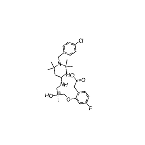 CC1(C)CC(NC[C@](C)(O)COc2cc(F)ccc2CC(=O)O)CC(C)(C)N1Cc1ccc(Cl)cc1